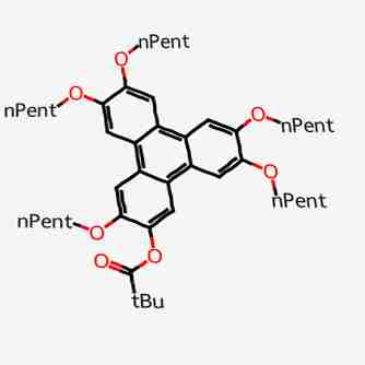 CCCCCOc1cc2c3cc(OCCCCC)c(OCCCCC)cc3c3cc(OC(=O)C(C)(C)C)c(OCCCCC)cc3c2cc1OCCCCC